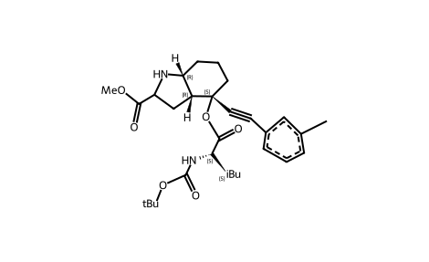 CC[C@H](C)[C@H](NC(=O)OC(C)(C)C)C(=O)O[C@@]1(C#Cc2cccc(C)c2)CCC[C@H]2NC(C(=O)OC)C[C@H]21